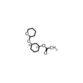 CC(=O)O[C@H]1CCC[C@@H](OC2CCCCO2)C1